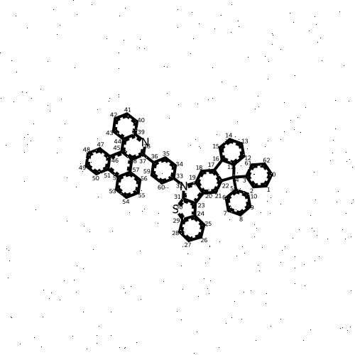 c1ccc(C2(c3ccccc3)c3ccccc3-c3cc4c(cc32)c2c3ccccc3sc2n4-c2ccc(-c3nc4ccccc4c4c5ccccc5c5ccccc5c34)cc2)cc1